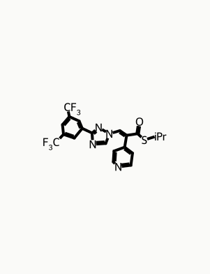 CC(C)SC(=O)/C(=C/n1cnc(-c2cc(C(F)(F)F)cc(C(F)(F)F)c2)n1)c1ccncc1